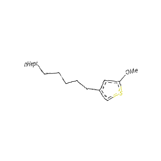 CCCCCCCCCCCCc1csc(OC)c1